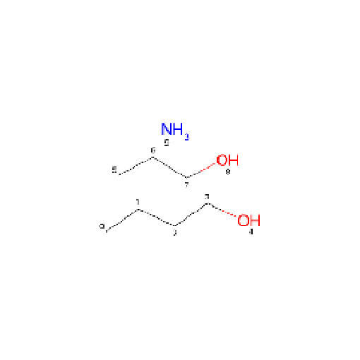 CCCCO.CCCO.N